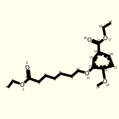 CCOC(=O)CCCCCCOc1cc(C(=O)OCC)ccc1OC